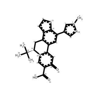 Cn1cc(-c2cc3c(c4ccsc24)C[C@@H](C(C)(C)C)n2cc(C(=O)O)c(=O)cc2-3)cn1